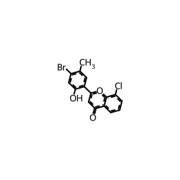 Cc1cc(-c2cc(=O)c3cccc(Cl)c3o2)c(O)cc1Br